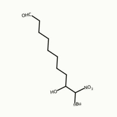 CCCCC(C(O)CCCCCCCC=O)[N+](=O)[O-]